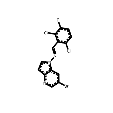 Fc1ccc(Cl)c(/C=N/n2ccc3ncc(Br)cc32)c1Cl